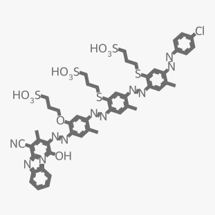 Cc1cc(N=Nc2cc(SCCCS(=O)(=O)O)c(N=Nc3cc(OCCCS(=O)(=O)O)c(N=Nc4c(C)c(C#N)c5nc6ccccc6n5c4O)cc3C)cc2C)c(SCCCS(=O)(=O)O)cc1N=Nc1ccc(Cl)cc1